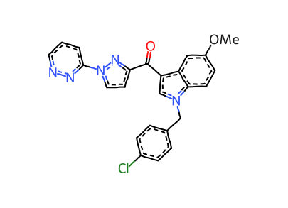 COc1ccc2c(c1)c(C(=O)c1ccn(-c3cccnn3)n1)cn2Cc1ccc(Cl)cc1